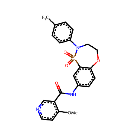 COc1ccncc1C(=O)Nc1ccc2c(c1)S(=O)(=O)N(c1ccc(C(F)(F)F)cc1)CCO2